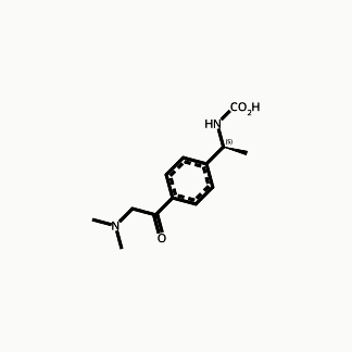 C[C@H](NC(=O)O)c1ccc(C(=O)CN(C)C)cc1